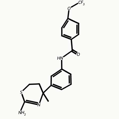 CC1(c2cccc(NC(=O)c3ccc(OC(F)(F)F)cc3)c2)CCSC(N)=N1